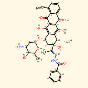 COc1cccc2c1C(=O)c1c(O)c3c(c(O)c1C2=O)C[C@@](O)(/C(C)=N/NC(=O)c1ccccc1)C[C@@H]3O[C@H]1C[C@H](N)[C@H](O)[C@H](C)O1.Cl